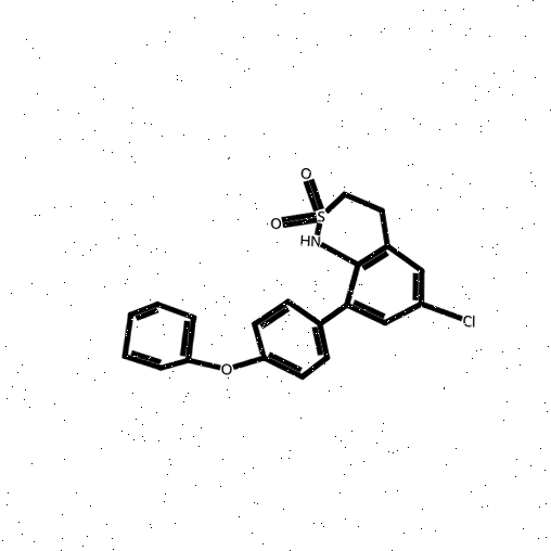 O=S1(=O)CCc2cc(Cl)cc(-c3ccc(Oc4ccccc4)cc3)c2N1